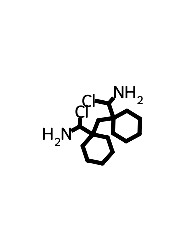 NC(Cl)C1(CC2(C(N)Cl)CCCCC2)CCCCC1